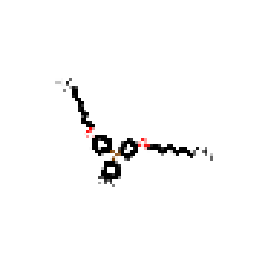 C.CCCCCCCCOc1ccc([S+](c2ccccc2)c2ccc(OCCCCCCCC)cc2)cc1